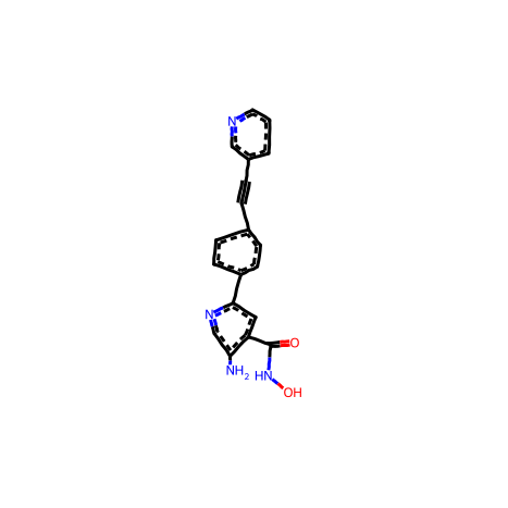 Nc1cnc(-c2ccc(C#Cc3cccnc3)cc2)cc1C(=O)NO